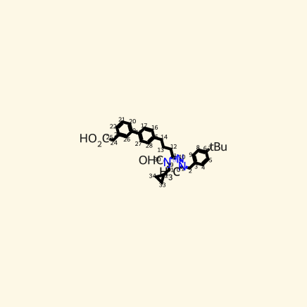 CN(Cc1ccc(C(C)(C)C)cc1)/N=C(/CCCc1ccc(-c2cccc(CC(=O)O)c2)cc1)N(C=O)CC1CC1